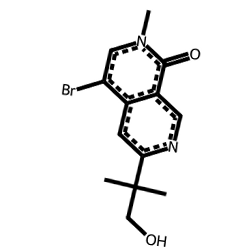 Cn1cc(Br)c2cc(C(C)(C)CO)ncc2c1=O